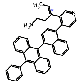 C/C=C(\CCN)c1cnccc1-c1ccc(-c2c3ccccc3c(-c3ccccc3)c3ccccc23)c2ccccc12